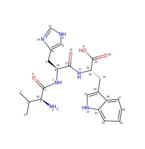 CC(C)[C@H](N)C(=O)N[C@@H](Cc1c[nH]cn1)C(=O)N[C@@H](Cc1c[nH]c2ccccc12)C(=O)O